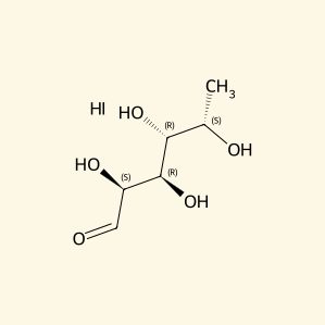 C[C@H](O)[C@@H](O)[C@@H](O)[C@H](O)C=O.I